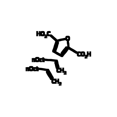 C=CCCCCCCCC.C=CCCCCCCCC.O=C(O)c1ccc(C(=O)O)o1